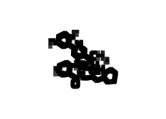 CC(C)c1cnc(-c2cc(F)ccc2F)cc1Nc1ccncc1C(=O)NC[C@@H](O)CC1CCCCC1